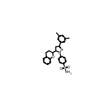 Cc1cc(C)cc(C2=NN(c3ccc(S(N)(=O)=O)cc3)C(C3CCc4ccccc4O3)C2)c1